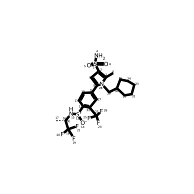 Cc1c(S(N)(=O)=O)cc(-c2ccc([S+]([O-])N[C@@H](C)C(F)(F)F)c(C(F)(F)F)c2)n1CC1CCCCC1